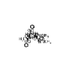 COc1nc(N)nc2c1ncn2[C@@H]1O[C@H](COP(=O)(N[C@H](C(=O)OC2CCCCC2)C(C)C)N[C@H](C(=O)OC2CCCCC2)C(C)C)[C@@H](O)[C@@H]1C